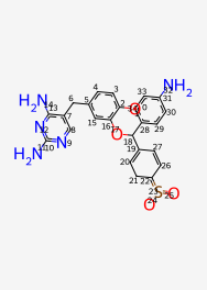 COc1ccc(Cc2cnc(N)nc2N)cc1OC(C1=CCC(=S(=O)=O)C=C1)c1ccc(N)cc1